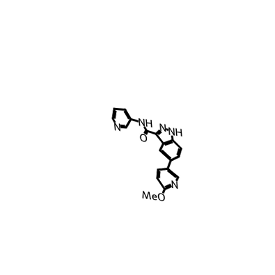 COc1ccc(-c2ccc3[nH]nc(C(=O)Nc4cccnc4)c3c2)cn1